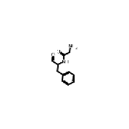 NCC(=O)NC(C=O)Cc1ccccc1